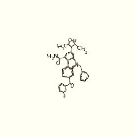 Cc1noc(C)c1-c1cc(C(N)=O)c2c3ccc(C(=O)c4cccc(F)c4)cc3n(Cc3ccccc3)c2c1